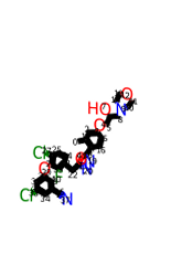 Cc1cc(OC[C@H](O)CN2CCOCC2)ccc1-c1nnc(Cc2ccc(Cl)c(Oc3cc(Cl)cc(C#N)c3)c2F)o1